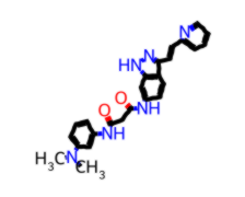 CN(C)c1cccc(NC(=O)CC(=O)Nc2ccc3c(C=Cc4ccccn4)n[nH]c3c2)c1